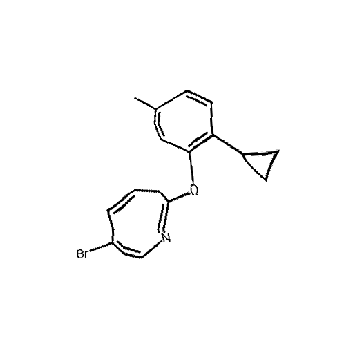 Cc1ccc(C2CC2)c(Oc2ccc(Br)cn2)c1